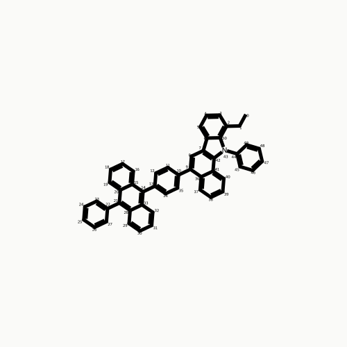 CCc1cccc2c3cc(-c4ccc(-c5c6ccccc6c(-c6ccccc6)c6ccccc56)cc4)c4ccccc4c3n(-c3ccccc3)c12